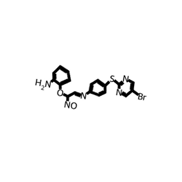 Nc1ccccc1OC(C=Nc1ccc(Sc2ncc(Br)cn2)cc1)N=O